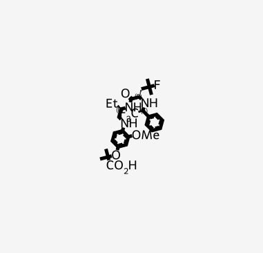 CC[C@H](CNc1ccc(OC(C)(C)C(=O)O)cc1OC)NC(=O)[C@H](CC(C)(C)F)N[C@@H](c1ccccc1)C(F)(F)F